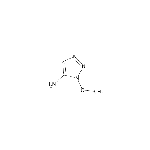 COn1nncc1N